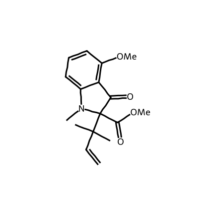 C=CC(C)(C)C1(C(=O)OC)C(=O)c2c(OC)cccc2N1C